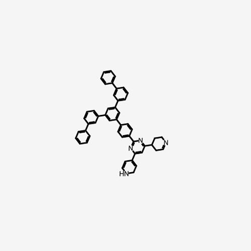 C1=CC(c2cc(C3CC=NCC3)nc(-c3ccc(-c4cc(-c5cccc(-c6ccccc6)c5)cc(-c5cccc(-c6ccccc6)c5)c4)cc3)n2)=CCN1